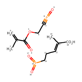 C=C(C)C(=O)OCC#P=O.CC(=CCCP(=O)=O)C(=O)O